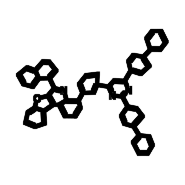 c1ccc(-c2ccc(-c3cc(-c4cccc(-c5cccc6c5nc(-c5cccc7ccccc57)c5oc7ccccc7c56)c4)nc(-c4ccc(-c5ccccc5)cc4)n3)cc2)cc1